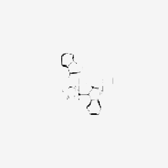 CN(C)C(=O)C(C(=O)N[C@@H](Cc1coc2ccccc12)B(O)O)c1ccccc1